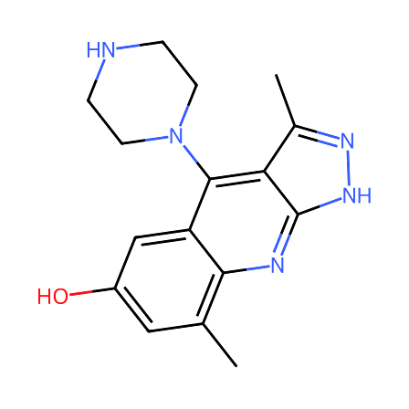 Cc1cc(O)cc2c(N3CCNCC3)c3c(C)n[nH]c3nc12